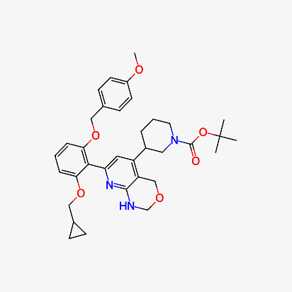 COc1ccc(COc2cccc(OCC3CC3)c2-c2cc(C3CCCN(C(=O)OC(C)(C)C)C3)c3c(n2)NCOC3)cc1